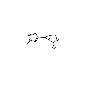 Cn1cc(C2C3COC(=O)C32)cn1